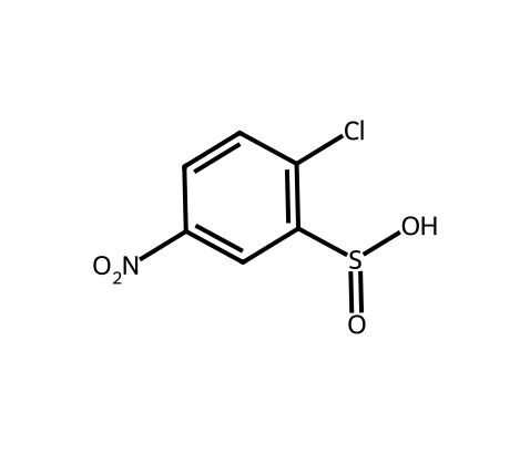 O=[N+]([O-])c1ccc(Cl)c(S(=O)O)c1